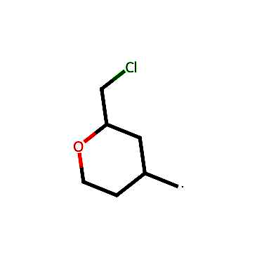 [CH2]C1CCOC(CCl)C1